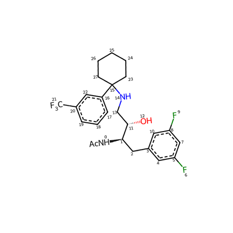 CC(=O)N[C@H](Cc1cc(F)cc(F)c1)[C@@H](O)CNC1(c2cccc(C(F)(F)F)c2)CCCCC1